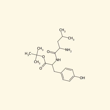 CC(C)CC(N)C(=O)NC(Cc1ccc(O)cc1)C(=O)OC(C)(C)C